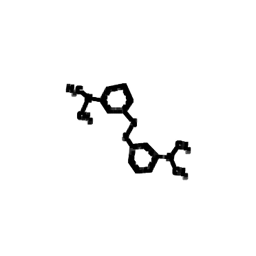 CN(C)c1cccc(SSc2cccc(N(C)C)c2)c1